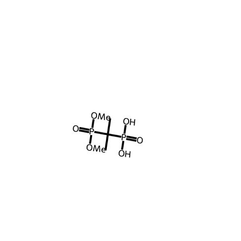 COP(=O)(OC)C(C)(C)P(=O)(O)O